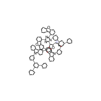 C=C/C=C\c1oc2ccc(-c3ccc4c(c3)c3ccccc3n4-c3cccc(-c4cc(-c5ccccc5)cc(-c5ccccc5)c4)c3)cc2c1-c1nc(-c2cccc3oc4ccccc4c23)nc(-c2cccc3oc4ccc(-c5ccc6c(c5)c5ccccc5n6-c5cccc(-c6cc(-c7ccccc7)cc(-c7ccccc7)c6)c5)cc4c23)n1